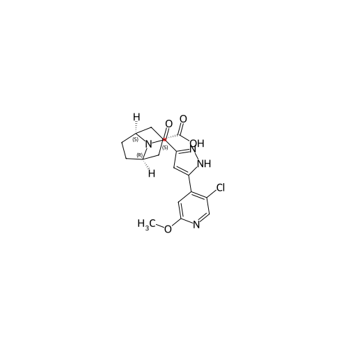 COc1cc(-c2cc(C(=O)N3[C@@H]4CC[C@H]3C[C@H](C(=O)O)C4)n[nH]2)c(Cl)cn1